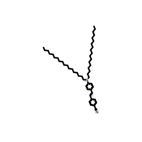 CCCCCCCCCCCCCCCCCCN(CCCCCCCCCCCCCCCCCC)c1ccc(/C=C/c2ccc(C#N)cc2)cc1